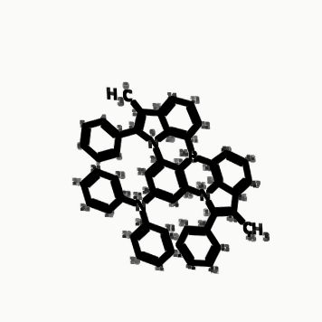 Cc1c(-c2ccccc2)n2c3c(cccc13)B1c3c-2cc(N(c2ccccc2)c2ccccc2)cc3-n2c(-c3ccccc3)c(C)c3cccc1c32